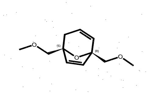 COC[C@@]12C=CC[C@@](COC)(C=C1)O2